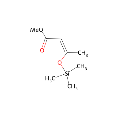 COC(=O)/C=C(/C)O[Si](C)(C)C